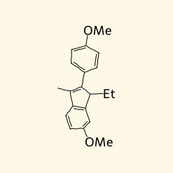 CCC1C(c2ccc(OC)cc2)=C(C)c2ccc(OC)cc21